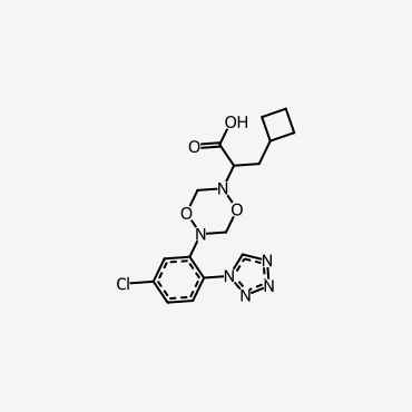 O=C(O)C(CC1CCC1)N1CON(c2cc(Cl)ccc2-n2cnnn2)CO1